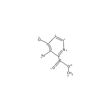 [2H]c1c(Cl)ccnc1C(=O)OC